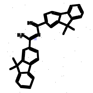 CC1(C)c2ccccc2-c2ccc(C(=N)/N=C(\N)c3ccc4c(c3)C(C)(C)c3ccccc3-4)cc21